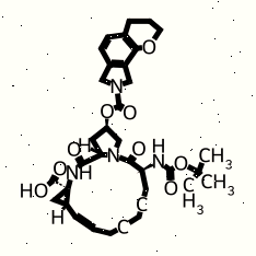 CC(C)(C)OC(=O)N[C@H]1CCCCC/C=C\[C@@H]2C[C@@]2(C(=O)O)NC(=O)[C@@H]2C[C@@H](OC(=O)N3Cc4ccc5c(c4C3)OCCC5)CN2C1=O